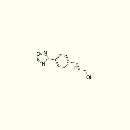 OC/C=C/c1ccc(-c2ncon2)cc1